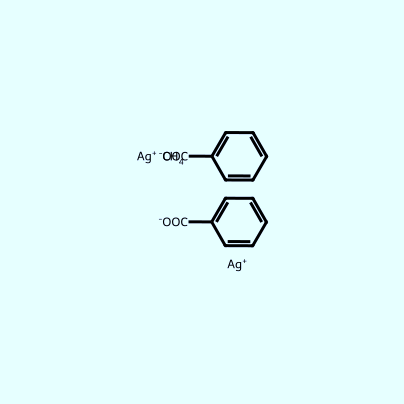 C.O=C([O-])c1ccccc1.O=C([O-])c1ccccc1.[Ag+].[Ag+]